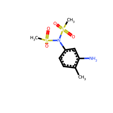 Cc1ccc(N(S(C)(=O)=O)S(C)(=O)=O)cc1N